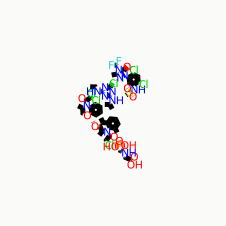 CC1COc2ccccc2N1C(=O)C(Cl)Cl.CCNc1nc(Cl)nc(NC(C)C)n1.CCc1cccc(C)c1N(C(=O)CCl)C(C)COC.Cc1nn(-c2cc(NS(C)(=O)=O)c(Cl)cc2Cl)c(=O)n1C(F)F.O=C(O)CNCP(=O)(O)O